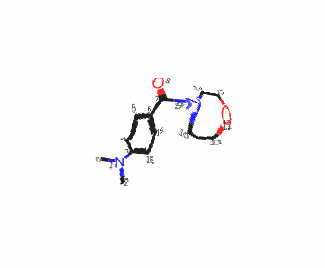 CN(C)c1ccc(C(=O)N2CCOCC2)cc1